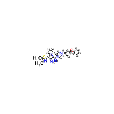 Cc1nc(-c2c3n(c4c(N5CCN(Cc6cccc(Oc7ccccc7)c6)CC5)ncnc24)CCCC3)sc1C